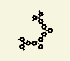 Cc1cccc(C(c2ccc(-c3ccc(N(c4ccccc4)c4ccc(-c5ccc(N(c6ccccc6)c6ccc(-c7ccc(N(c8cccc(C)c8)c8cccc(C)c8)cc7)cc6)cc5)cc4)cc3)cc2)c2cccc(C)c2)c1